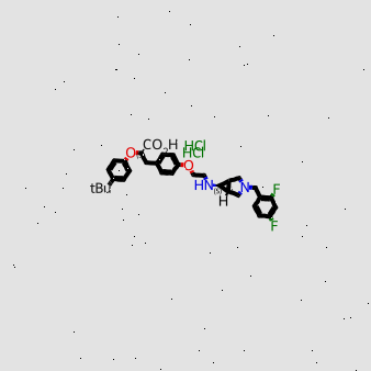 CC(C)(C)c1ccc(O[C@@H](Cc2ccc(OCCN[C@H]3C4CN(Cc5ccc(F)cc5F)C[C@@H]43)cc2)C(=O)O)cc1.Cl.Cl